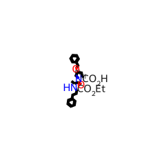 CCOC(=O)C(CCc1ccccc1)NC(C)C(=O)N1C[C@@H](OCc2ccccc2)C[C@H]1C(=O)O